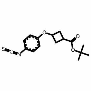 CC(C)(C)OC(=O)C1CC(Oc2ccc(N=C=S)cc2)C1